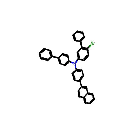 Brc1ccc(N(c2ccc(-c3ccccc3)cc2)c2ccc(-c3ccc4ccccc4c3)cc2)cc1-c1ccccc1